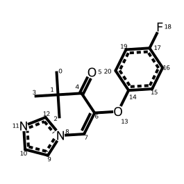 CC(C)(C)C(=O)C(=Cn1ccnc1)Oc1ccc(F)cc1